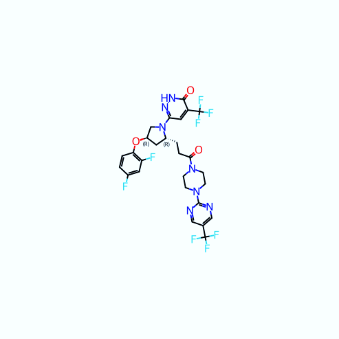 O=C(CC[C@@H]1C[C@@H](Oc2ccc(F)cc2F)CN1c1cc(C(F)(F)F)c(=O)[nH]n1)N1CCN(c2ncc(C(F)(F)F)cn2)CC1